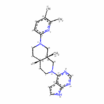 Cc1nc(N2CC[C@H]3CCN(c4ncnc5[nH]ccc45)C[C@@]3(C)C2)ccc1C#N